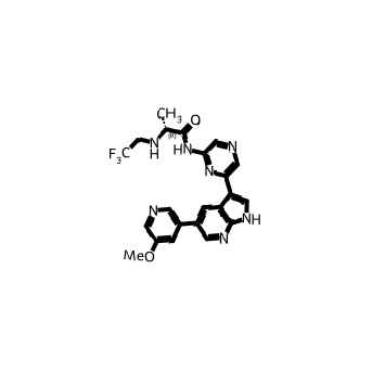 COc1cncc(-c2cnc3[nH]cc(-c4cncc(NC(=O)[C@@H](C)NCC(F)(F)F)n4)c3c2)c1